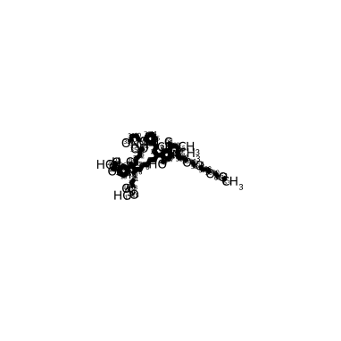 C=C(/C=C(/C=C/C=C/C=C1/N(CCCS(=O)(=O)O)c2ccc(S(=O)(=O)O)cc2C1(C)CCCC(=O)ON1C(=O)CCC1=O)c1cc2c(cc1O)N(CCOCCOCCOCCOC)C(C)(C)C=C2C)c1ccccc1